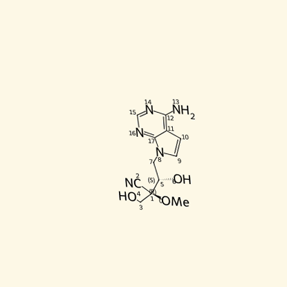 CO[C@](C#N)(CO)[C@@H](O)Cn1ccc2c(N)ncnc21